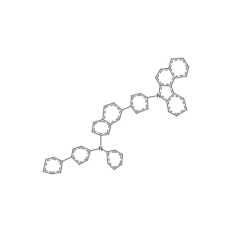 c1ccc(-c2ccc(N(c3ccccc3)c3ccc4ccc(-c5ccc(-n6c7ccccc7c7c8ccccc8ccc76)cc5)cc4c3)cc2)cc1